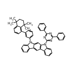 CC1(C)CCC(C)(C)c2c(-c3cccc(-n4c5ccccc5c5cc6c7ccccc7n(-c7nc(-c8ccccc8)nc(-c8ccccc8)n7)c6cc54)c3)cccc21